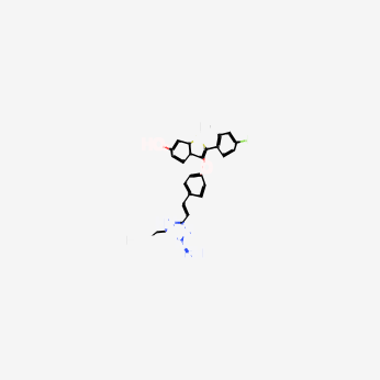 CCCNC(/C=C/c1ccc(OC2=C(c3ccc(F)cc3C)SC3C=C(O)C=CC23)cc1)=N\N=N